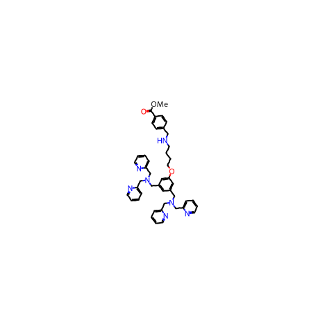 COC(=O)c1ccc(CNCCCCOc2cc(CN(Cc3ccccn3)Cc3ccccn3)cc(CN(Cc3ccccn3)Cc3ccccn3)c2)cc1